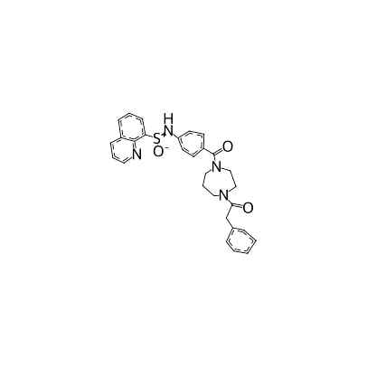 O=C(Cc1ccccc1)N1CCCN(C(=O)c2ccc(N[S+]([O-])c3cccc4cccnc34)cc2)CC1